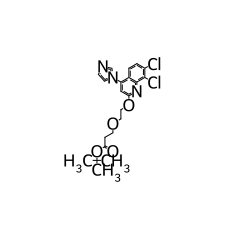 CC(C)(C)OC(=O)CCOCCOc1cc(-n2ccnc2)c2ccc(Cl)c(Cl)c2n1